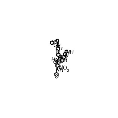 Cc1ccccc1[C@@H]1CCCN1C1CC2(CCN(c3ccc(C(=O)NS(=O)(=O)c4ccc(NCC5CCOCC5)c([N+](=O)[O-])c4)c(N4c5cc6cc[nH]c6nc5O[C@H]5CCOC[C@H]54)c3)CC2)C1